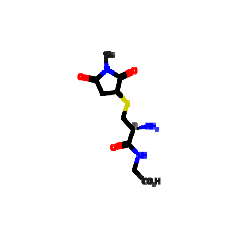 CC(C)(C)N1C(=O)CC(SC[C@H](N)C(=O)NCC(=O)O)C1=O